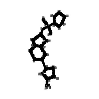 O=S(=O)(Cc1cn2ccc(-c3noc(C(F)(F)F)n3)cc2n1)c1ccccc1